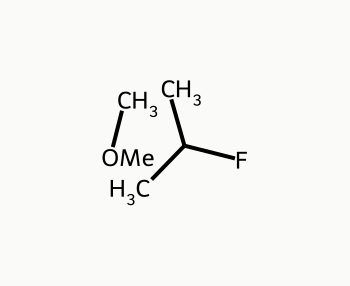 CC(C)F.COC